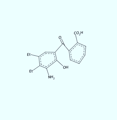 CCc1cc(C(=O)c2ccccc2C(=O)O)c(O)c(N)c1CC